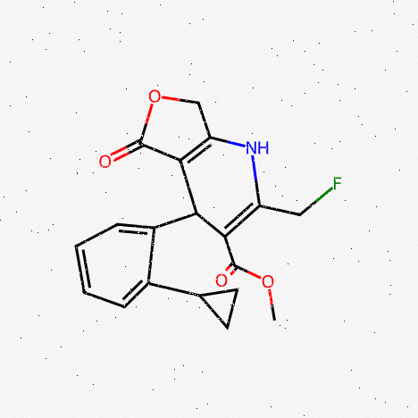 COC(=O)C1=C(CF)NC2=C(C(=O)OC2)C1c1ccccc1C1CC1